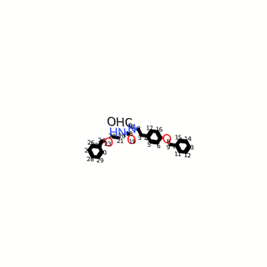 O=[C]N(CCc1ccc(OCc2ccccc2)cc1)C(=O)NCCOCc1ccccc1